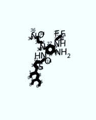 C/C=C(\C=C(CC)CC)c1ccc(C(=O)Nc2cc(N)c(NCC(F)(F)F)cc2N(C)CCC(=O)N(C)C)s1